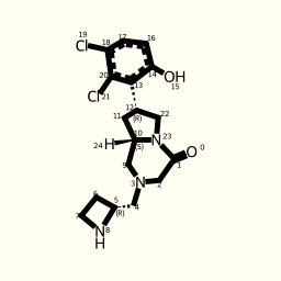 O=C1CN(C[C@H]2CCN2)C[C@@H]2C[C@H](c3c(O)ccc(Cl)c3Cl)CN12